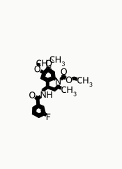 CCOC(=O)N1c2cc(OC)c(OC)cc2C(CNC(=O)c2cccc(F)c2)CC1C